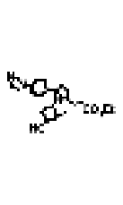 CCOC(=O)CCc1ccc(-c2ccc(-n3ccnc3)cc2)n1-c1ccc(C#N)cc1C